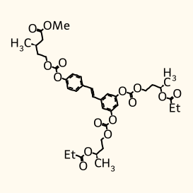 CCC(=O)O[C@H](C)CCOC(=O)Oc1cc(/C=C/c2ccc(OC(=O)OCC[C@@H](C)CC(=O)OC)cc2)cc(OC(=O)OCC[C@@H](C)OC(=O)CC)c1